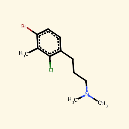 Cc1c(Br)ccc(CCCN(C)C)c1Cl